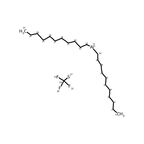 CCCCCCCCCC[CH2][Al+][CH2]CCCCCCCCCC.FC(F)(F)[S-]